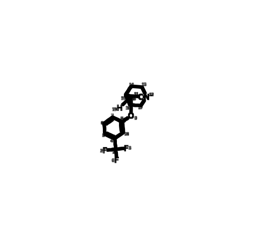 FC(F)(F)c1cccc(O[C@H]2CN3CCC2CC3)c1